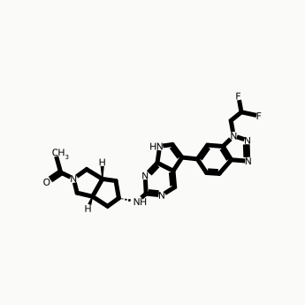 CC(=O)N1C[C@H]2C[C@@H](Nc3ncc4c(-c5ccc6nnn(CC(F)F)c6c5)c[nH]c4n3)C[C@H]2C1